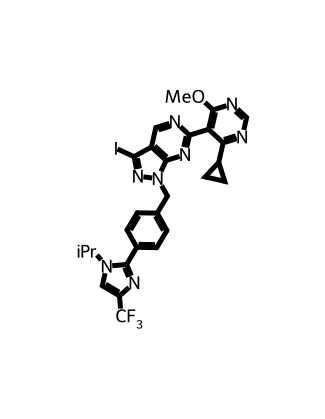 COc1ncnc(C2CC2)c1-c1ncc2c(I)nn(Cc3ccc(-c4nc(C(F)(F)F)cn4C(C)C)cc3)c2n1